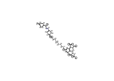 O=C1CC(C2CC3C(=O)OC(=O)C3c3cc(OCCCCCCCCOOc4ccc(/C=C/C(=O)c5ccc(F)cc5)cc4)ccc32)C(=O)O1